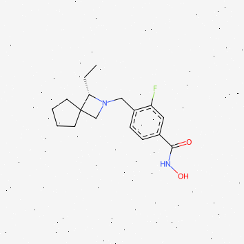 CC[C@@H]1N(Cc2ccc(C(=O)NO)cc2F)CC12CCCC2